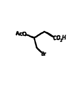 CC(=O)OC(CBr)CC(=O)O